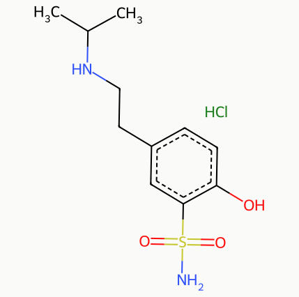 CC(C)NCCc1ccc(O)c(S(N)(=O)=O)c1.Cl